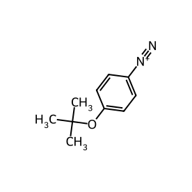 CC(C)(C)Oc1ccc([N+]#N)cc1